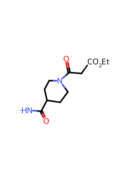 CCOC(=O)CC(=O)N1CCC(C([NH])=O)CC1